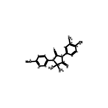 COc1ccc(N2C(=S)N(c3ccc(C#N)c(C(F)(F)F)c3)C(=O)C2(C)C)cn1